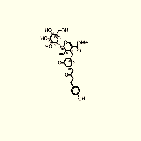 C=C[C@H]1[C@H](O[C@@H]2O[C@H](CO)[C@@H](O)[C@H](O)[C@H]2O)OC=C(C(=O)OC)[C@H]1C[C@H]1CC(=O)C[C@H](CC(=O)CCc2ccc(O)cc2)O1